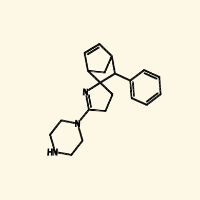 C1=CC2CC1C(c1ccccc1)C21CCC(N2CCNCC2)=N1